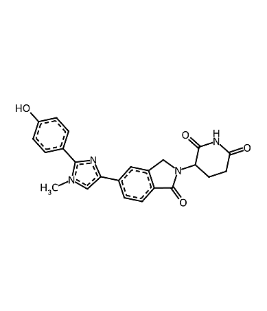 Cn1cc(-c2ccc3c(c2)CN(C2CCC(=O)NC2=O)C3=O)nc1-c1ccc(O)cc1